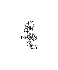 CCOc1cc(C(=O)Nc2cc(C(F)(F)F)ccn2)ccc1-c1nc([C@@H]2CCCN(C#N)C2)n2ccnc(N)c12